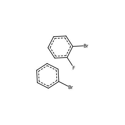 Brc1ccccc1.Fc1ccccc1Br